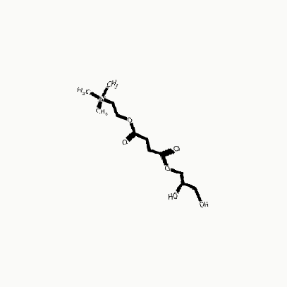 C[N+](C)(C)CCOC(=O)CCC(=O)OCC(O)CO